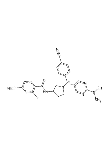 CN(C)c1ncc([C@@H](c2ccc(C#N)cc2)N2CCC(NC(=O)c3ccc(C#N)cc3F)C2)cn1